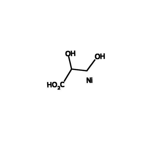 O=C(O)C(O)CO.[Ni]